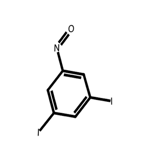 O=Nc1cc(I)cc(I)c1